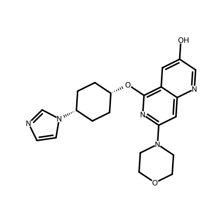 Oc1cnc2cc(N3CCOCC3)nc(O[C@H]3CC[C@@H](n4ccnc4)CC3)c2c1